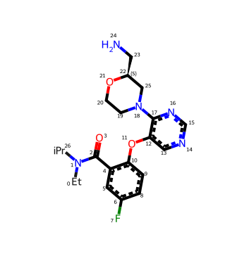 CCN(C(=O)c1cc(F)ccc1Oc1cncnc1N1CCO[C@@H](CN)C1)C(C)C